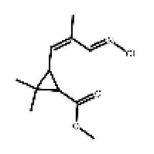 COC(=O)C1C(C=C(C)C=NO)C1(C)C